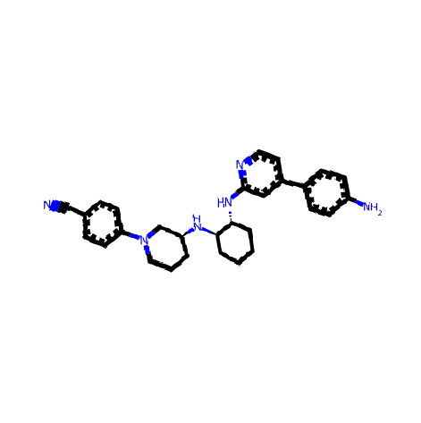 N#Cc1ccc(N2CCC[C@H](N[C@@H]3CCCC[C@H]3Nc3cc(-c4ccc(N)cc4)ccn3)C2)cc1